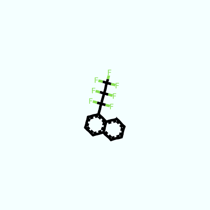 FC(F)(F)C(F)(F)C(F)(F)c1cccc2ccc[c]c12